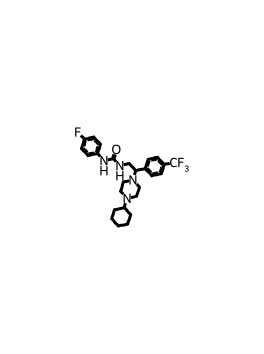 O=C(NCC(c1ccc(C(F)(F)F)cc1)N1CCN(C2CCCCC2)CC1)Nc1ccc(F)cc1